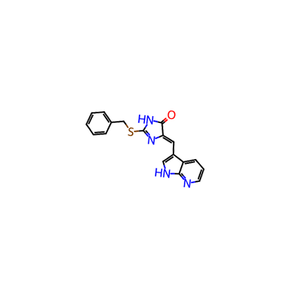 O=C1NC(SCc2ccccc2)=N/C1=C\c1c[nH]c2ncccc12